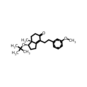 COc1cccc(CCC2=C3CC[C@@H](OC(C)(C)C)[C@]3(C)CCC2=O)c1